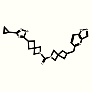 O=C(N1CC2(CC(Cc3ccc4[nH]ncc4n3)C2)C1)N1CC2(CC(c3nc(C4CC4)n[nH]3)C2)C1